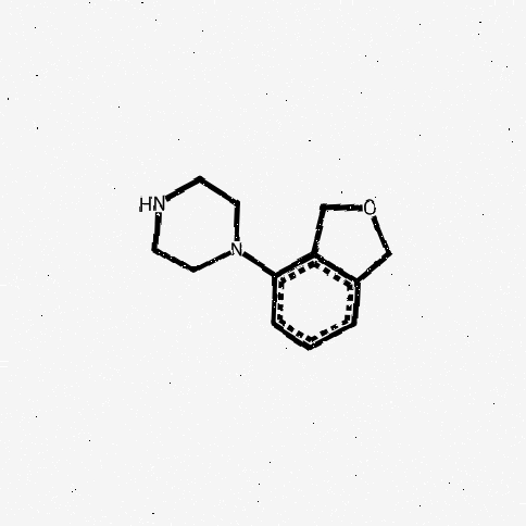 c1cc2c(c(N3CCNCC3)c1)COC2